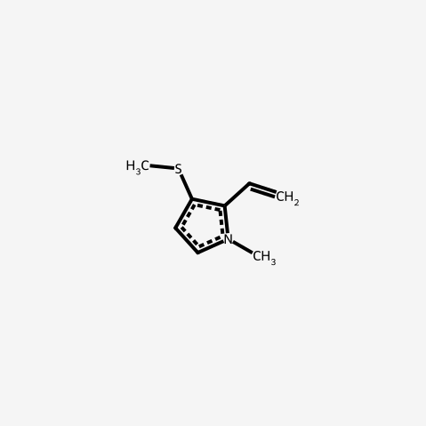 C=Cc1c(SC)ccn1C